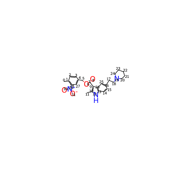 Cc1ccc(COC(=O)c2c(C)[nH]c3ccc(CCN4CCCCC4)cc23)cc1[N+](=O)[O-]